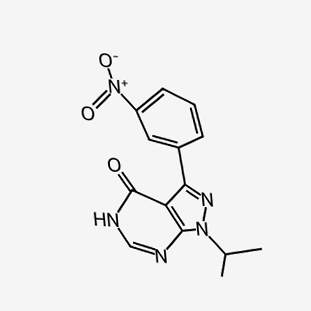 CC(C)n1nc(-c2cccc([N+](=O)[O-])c2)c2c(=O)[nH]cnc21